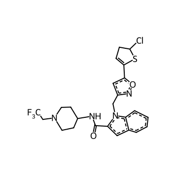 O=C(NC1CCN(CC(F)(F)F)CC1)c1cc2ccccc2n1Cc1cc(C2=CCC(Cl)S2)on1